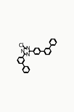 Clc1nc(-c2ccc(-c3cccc(-c4ccccc4)c3)cc2)nc(-c2cccc(-c3ccccc3)c2)n1